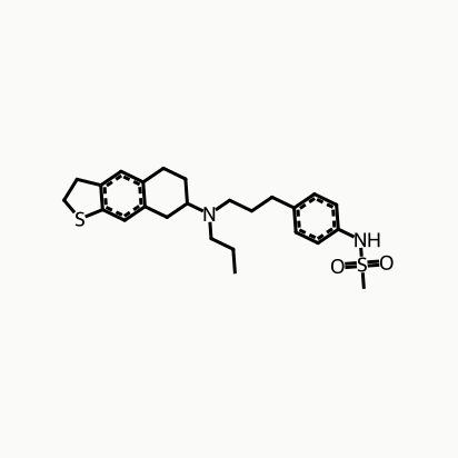 CCCN(CCCc1ccc(NS(C)(=O)=O)cc1)C1CCc2cc3c(cc2C1)SCC3